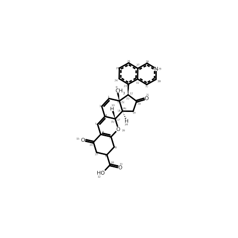 C[C@]12C=CC3=CC4=C(CC(C(=O)O)CC4=O)O[C@H]3[C@@H]1CC(=O)[C@@H]2c1cccc2cnccc12